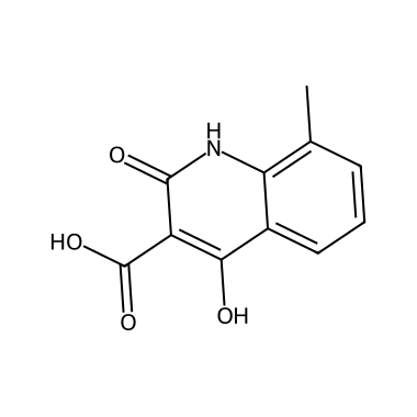 Cc1cccc2c(O)c(C(=O)O)c(=O)[nH]c12